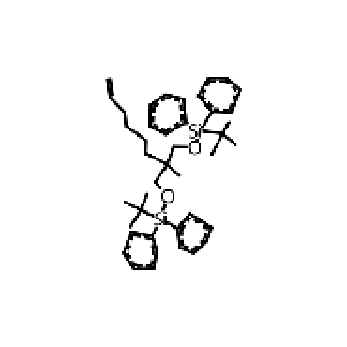 C=CCCCCC(C)(CO[Si](c1ccccc1)(c1ccccc1)C(C)(C)C)CO[Si](c1ccccc1)(c1ccccc1)C(C)(C)C